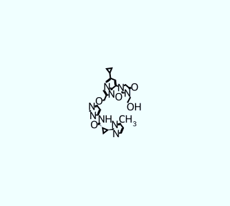 Cc1ccnc([C@H]2C[C@@H]2C(=O)Nc2cc(OCc3cn4cc(C5CC5)cc(N5CC(=O)N(CCO)C5=O)c4n3)ncn2)n1